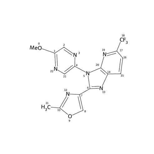 COc1cnc(-n2c(-c3coc(C)n3)nc3ccc(C(F)(F)F)nc32)cn1